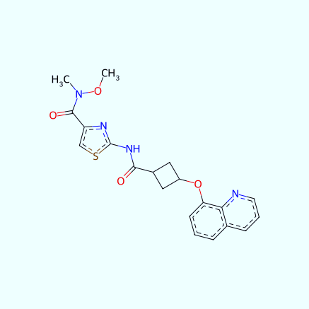 CON(C)C(=O)c1csc(NC(=O)C2CC(Oc3cccc4cccnc34)C2)n1